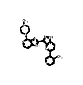 Cc1ccncc1-c1ccc2[nH]nc(-c3nc4c(N5CCN(C)CC5)nccc4[nH]3)c2n1